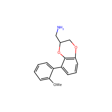 COc1ccccc1-c1cccc2c1OC(CN)CO2